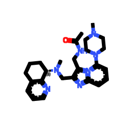 CC(=O)NCc1c(CN(C)[C@H]2CCCc3cccnc32)nc2cccc(N3CCN(C)CC3)n12